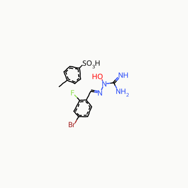 Cc1ccc(S(=O)(=O)O)cc1.N=C(N)N(O)N=Cc1ccc(Br)cc1F